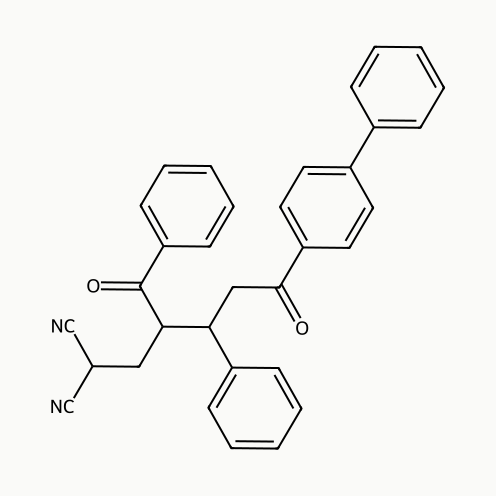 N#CC(C#N)CC(C(=O)c1ccccc1)C(CC(=O)c1ccc(-c2ccccc2)cc1)c1ccccc1